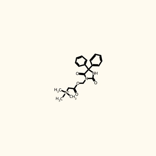 C[N+](C)(C)CC(=O)OCN1C(=O)NC(c2ccccc2)(c2ccccc2)C1=O